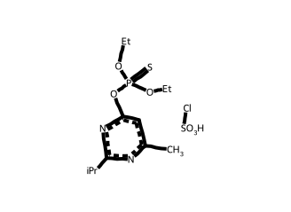 CCOP(=S)(OCC)Oc1cc(C)nc(C(C)C)n1.O=S(=O)(O)Cl